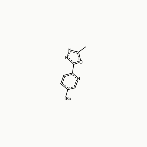 Cc1nnc(-c2ccc(C(C)(C)C)cn2)o1